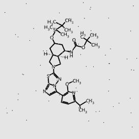 COc1nc(C(C)C)ccc1-c1cnc2sc(N3C[C@H]4CC(O[Si](C)(C)C(C)(C)C)C[C@@H](NC(=O)OC(C)(C)C)[C@H]4C3)nn12